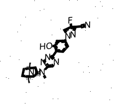 CN(c1cnc(-c2ccc(-n3cc(F)c(C#N)n3)cc2O)nn1)[C@H]1C[C@]2(C)CC[C@](C)(C1)N2